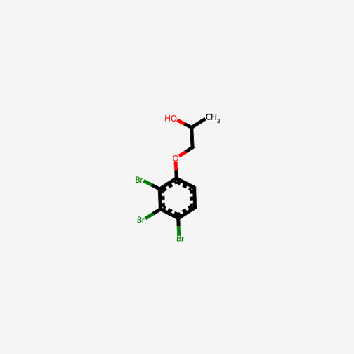 CC(O)[CH]Oc1ccc(Br)c(Br)c1Br